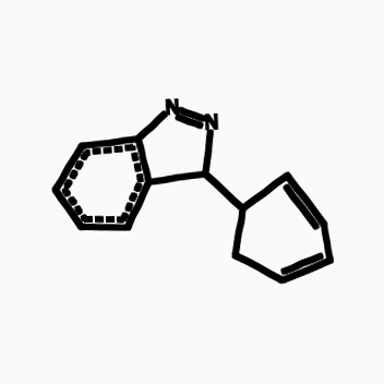 C1=CCC(C2N=Nc3ccccc32)C=C1